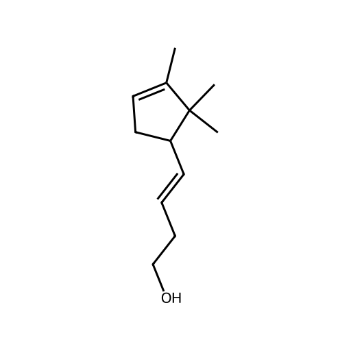 CC1=CCC(C=CCCO)C1(C)C